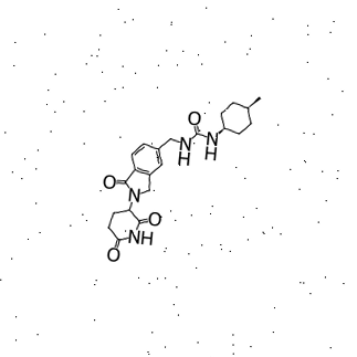 C[C@H]1CC[C@@H](NC(=O)NCc2ccc3c(c2)CN(C2CCC(=O)NC2=O)C3=O)CC1